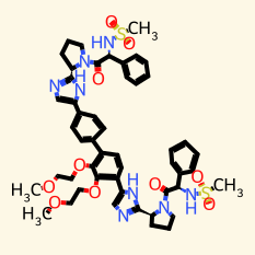 COCCOc1c(-c2ccc(-c3cnc([C@@H]4CCCN4C(=O)[C@H](NS(C)(=O)=O)c4ccccc4)[nH]3)cc2)ccc(-c2cnc([C@@H]3CCCN3C(=O)[C@H](NS(C)(=O)=O)c3ccccc3)[nH]2)c1OCCOC